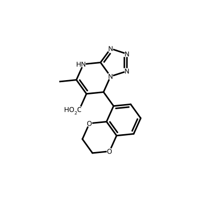 CC1=C(C(=O)O)C(c2cccc3c2OCCO3)n2nnnc2N1